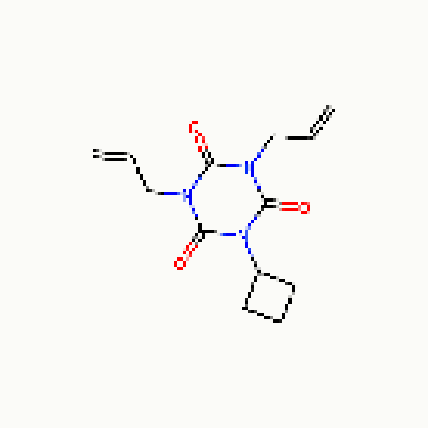 C=CCn1c(=O)n(CC=C)c(=O)n(C2CCC2)c1=O